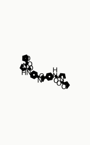 O=C(Nc1ccc(-c2cnc(-c3ccc(NC(=O)[C@@H]4CCCN4C(=O)c4ccco4)cc3)o2)cc1)[C@@H]1CCCN1C(=O)c1ccco1